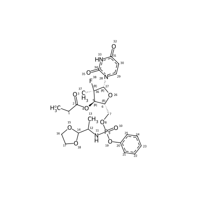 CCC(=O)O[C@@H]1[C@@H](COP(=O)(NC(C)C2OCCO2)Oc2ccccc2)O[C@@H](n2ccc(=O)[nH]c2=O)[C@]1(C)F